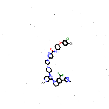 CC(=O)N1CCc2c(c(N3CCCc4cc(-c5cnn(C)c5)c(C(F)F)cc43)nn2C2CCN([C@H]3CCN(c4ccc(C(=O)NC5CCC(Oc6ccc(C#N)c(Cl)c6)CC5)nn4)C3)CC2)C1